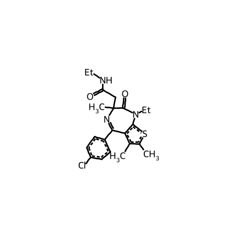 CCNC(=O)CC1(C)N=C(c2ccc(Cl)cc2)c2c(sc(C)c2C)N(CC)C1=O